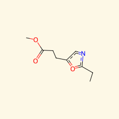 CCc1ncc(CCC(=O)OC)o1